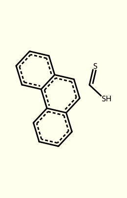 S=CS.c1ccc2c(c1)ccc1ccccc12